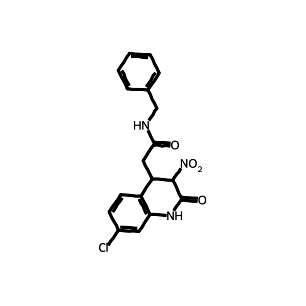 O=C(CC1c2ccc(Cl)cc2NC(=O)C1[N+](=O)[O-])NCc1ccccc1